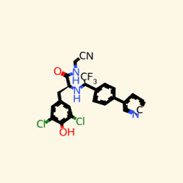 N#CCNC(=O)[C@H](Cc1cc(Cl)c(O)c(Cl)c1)N[C@@H](c1ccc(-c2cccnc2)cc1)C(F)(F)F